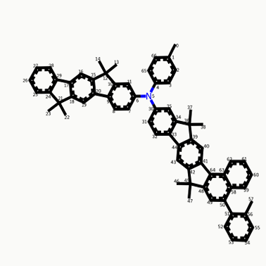 Cc1ccc(N(c2ccc3c(c2)C(C)(C)c2cc4c(cc2-3)C(C)(C)c2ccccc2-4)c2ccc3c(c2)C(C)(C)c2cc4c(cc2-3)C(C)(C)c2cc(-c3ccccc3C)c3ccccc3c2-4)cc1